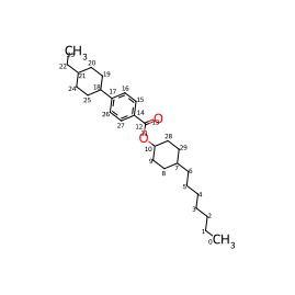 CCCCCCCC1CCC(OC(=O)c2ccc(C3CCC(CC)CC3)cc2)CC1